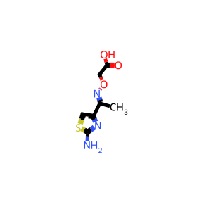 CC(=NOCC(=O)O)c1csc(N)n1